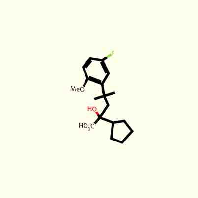 COc1ccc(F)cc1C(C)(C)CC(O)(C(=O)O)C1CCCC1